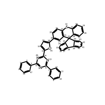 c1ccc(-c2nc(-c3ccccc3)nc(-c3ccc(-c4ccc5c(c4)C4(c6ccccc6S5)c5ccccc5-c5ccccc54)o3)n2)cc1